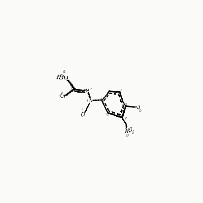 CC(C)(C)C(Cl)=NN(Cl)c1ccc(Cl)c([N+](=O)[O-])c1